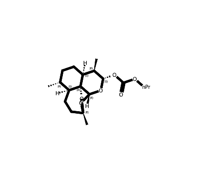 CCCOC(=O)O[C@@H]1O[C@@H]2O[C@@]3(C)CC[C@H]4[C@H](C)CC[C@@H]([C@H]1C)[C@@]24OO3